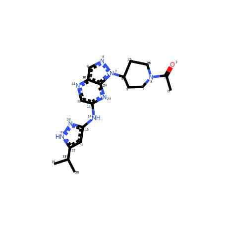 CC(=O)N1CCC(n2ncc3ncc(Nc4cc(C(C)C)[nH]n4)nc32)CC1